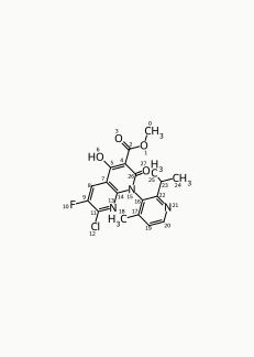 COC(=O)c1c(O)c2cc(F)c(Cl)nc2n(-c2c(C)ccnc2C(C)C)c1=O